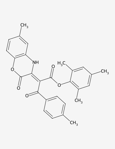 Cc1ccc(C(=O)C(C(=O)Oc2c(C)cc(C)cc2C)=C2Nc3cc(C)ccc3OC2=O)cc1